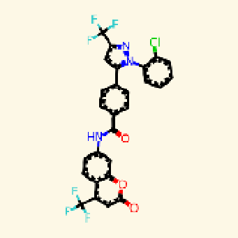 O=C(Nc1ccc2c(C(F)(F)F)cc(=O)oc2c1)c1ccc(-c2cc(C(F)(F)F)nn2-c2ccccc2Cl)cc1